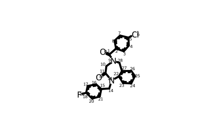 O=C(c1ccc(Cl)cc1)N1CC(=O)N(Cc2ccc(F)cc2)c2ccccc2C1